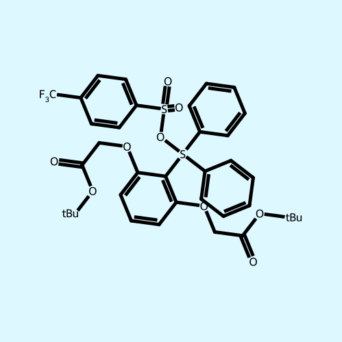 CC(C)(C)OC(=O)COc1cccc(OCC(=O)OC(C)(C)C)c1S(OS(=O)(=O)c1ccc(C(F)(F)F)cc1)(c1ccccc1)c1ccccc1